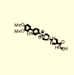 COc1ccc(-c2ccc(S(=O)(=O)N3CCN(c4ncc(C(=O)NO)cn4)CC3)cc2)c(OC)c1OC